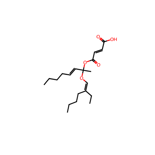 CCCCC=CC(C)(OC=C(CC)CCCC)OC(=O)C=CC(=O)O